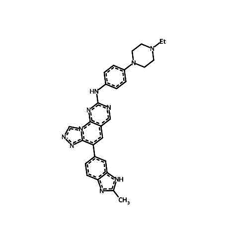 CCN1CCN(c2ccc(Nc3ncc4cc(-c5ccc6nc(C)[nH]c6c5)c5nncn5c4n3)cc2)CC1